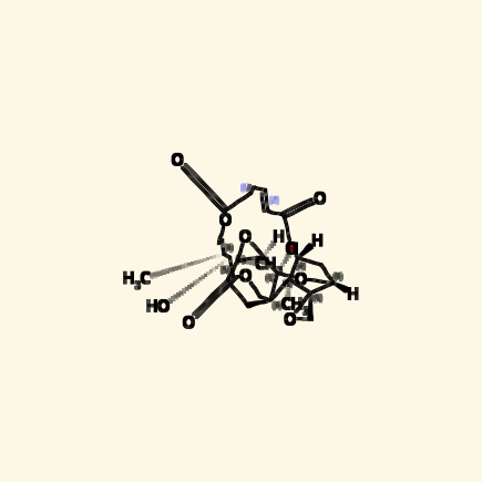 C[C@@H]1CCOC(=O)/C=C/C=C\C(=O)O[C@@H]2C[C@H]3O[C@@H]4[C@@H]5O[C@]5(C)CC[C@]4(COC(=O)[C@H]1O)[C@]2(C)[C@]31CO1